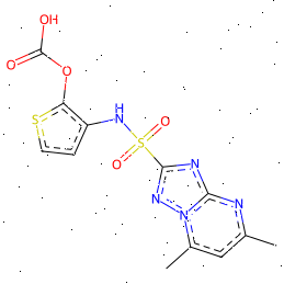 Cc1cc(C)n2nc(S(=O)(=O)Nc3ccsc3OC(=O)O)nc2n1